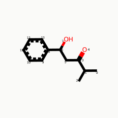 CC(C)C(=O)CC(O)c1ccccc1